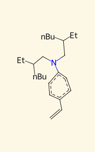 C=Cc1ccc(N(CC(CC)CCCC)CC(CC)CCCC)cc1